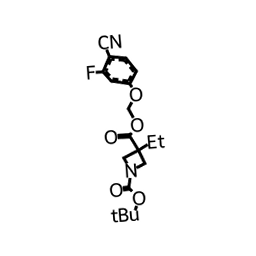 CCC1(C(=O)OCOc2ccc(C#N)c(F)c2)CN(C(=O)OC(C)(C)C)C1